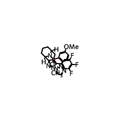 COc1ccc(-n2nccn2)c(C(=O)N2[C@@H]3CCC[C@H]2c2nn(C)c(-c4cc(F)c(F)c(F)c4)c2C3)c1